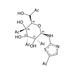 CC(=O)c1cnc(N[C@@H]2O[C@H](C(O)C(C)=O)[C@](O)(C(C)=O)[C@@](O)(C(C)=O)[C@@]2(O)C(C)=O)s1